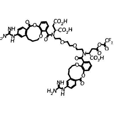 N=C(N)Nc1ccc2c(c1)CCCOc1c(cccc1C(=O)N(CCOCCOCCN(C(=O)c1cccc3c1OCCCc1cc(NC(=N)N)ccc1C(=O)O3)[C@H](CC(=O)OC(=O)C(F)(F)F)C(=O)O)[C@H](CC(=O)O)C(=O)O)OC2=O